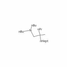 CCCCCCCC(C)(CCC)CN(CCCC)CCCC